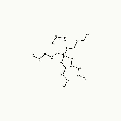 CCCCC[N+](CCCCC)(CCCCC)CCCCC.CC[O-]